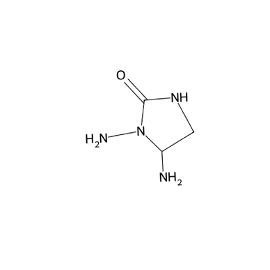 NC1CNC(=O)N1N